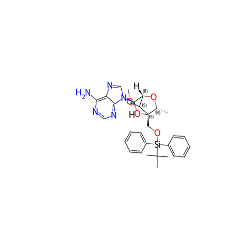 CO[C@H]1[C@H]2O[C@H](C)[C@]1(CO[Si](c1ccccc1)(c1ccccc1)C(C)(C)C)O[C@H]2n1cnc2c(N)ncnc21